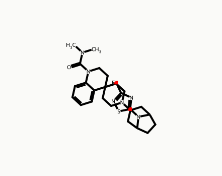 CCc1nsc(N2C3CCC2CC(N2CCC4(CCN(C(=O)N(C)C)c5ccccc54)CC2)C3)n1